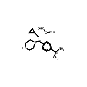 CC(C)(C)OC=O.C[C@H](N)c1ccc([C@@H](CC2CC2)N2CCNCC2)cc1